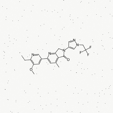 CCc1ncc(-c2cc(C)c3c(n2)CN(c2cnn(CC(F)(F)F)c2)C3=O)cc1OC